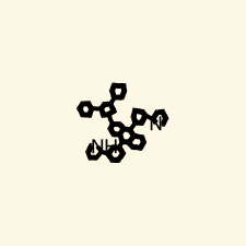 C1=CNC(c2cccc(-c3c4ccccc4c(-c4cccc(-c5ccccn5)c4)c4cc(-c5cc(-c6ccccc6)cc(-c6ccccc6)c5)ccc34)c2)C=C1